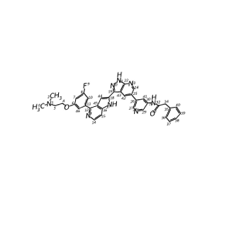 CN(C)CCOc1cc(F)cc(-c2nccc3[nH]c(-c4n[nH]c5ncc(-c6cncc(NC(=O)Cc7ccccc7)c6)cc45)cc23)c1